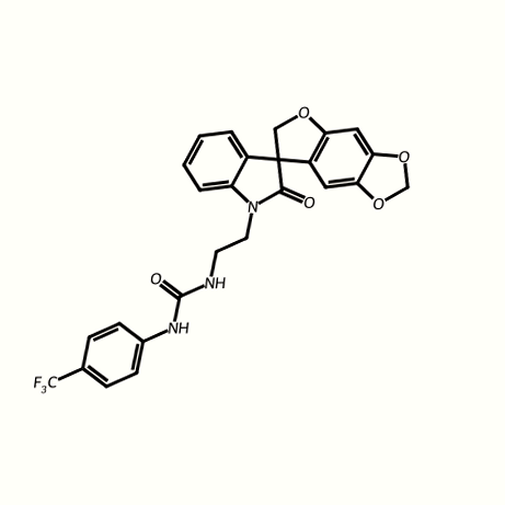 O=C(NCCN1C(=O)C2(COc3cc4c(cc32)OCO4)c2ccccc21)Nc1ccc(C(F)(F)F)cc1